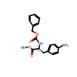 CC(C)(C)OC(=O)[C@H](Cc1ccc([N+](=O)[O-])cc1)NC(=O)OCc1ccccc1